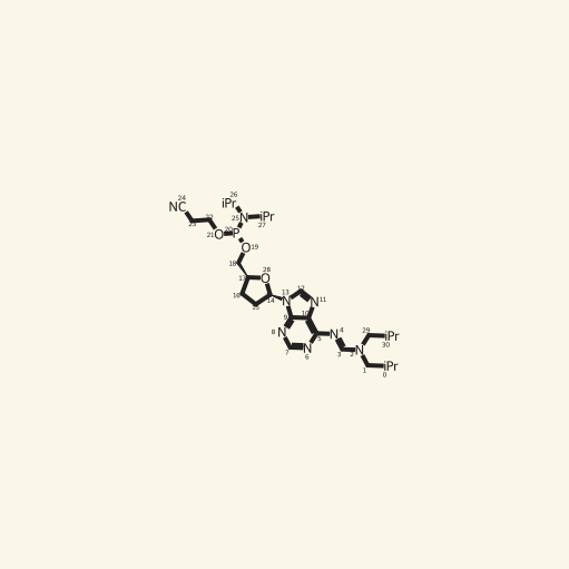 CC(C)CN(C=Nc1ncnc2c1ncn2[C@H]1CC[C@@H](COP(OCCC#N)N(C(C)C)C(C)C)O1)CC(C)C